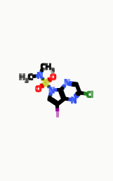 CN(C)S(=O)(=O)n1cc(I)c2nc(Cl)cnc21